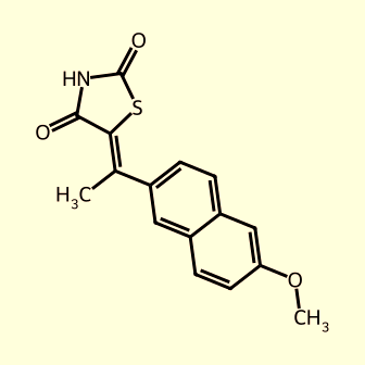 COc1ccc2cc(/C(C)=C3\SC(=O)NC3=O)ccc2c1